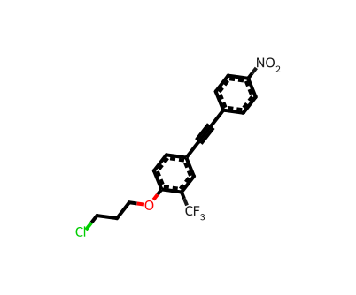 O=[N+]([O-])c1ccc(C#Cc2ccc(OCCCCl)c(C(F)(F)F)c2)cc1